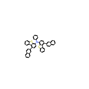 c1ccc(N(c2ccc(-c3ccc4ccccc4c3)c3c2sc2ccccc23)c2ccc(-c3ccc4ccccc4c3)c3c2sc2ccccc23)cc1